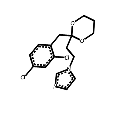 Clc1ccc(CC2(CCn3ccnc3)OCCCO2)c(Cl)c1